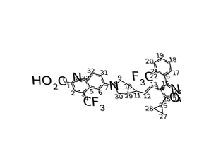 O=C(O)c1cc(C(F)(F)F)c2cc(N3CC4C(/C=C/c5c(-c6ccccc6C(F)(F)F)noc5C5CC5)C4C3)ccc2n1